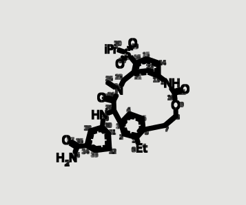 CCc1cc2ccc1CCOC(=O)Nc1ccc(S(=O)(=O)C(C)C)c(c1)CN(C)C(=O)C2Nc1cccc(C(N)=O)c1